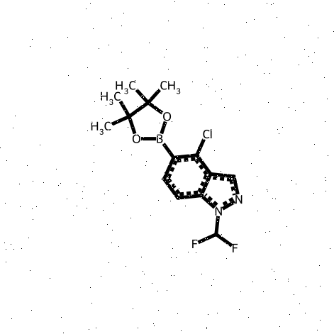 CC1(C)OB(c2ccc3c(cnn3C(F)F)c2Cl)OC1(C)C